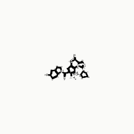 Cc1cc2c(cc1C(=O)N1CCc3cc(F)ccc31)[nH]c(=O)c1cnc([C@@H]3CCC[C@@H]3O)n12